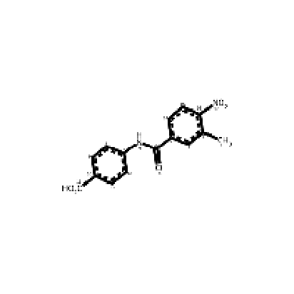 Cc1cc(C(=O)Nc2ccc(C(=O)O)cc2)ccc1[N+](=O)[O-]